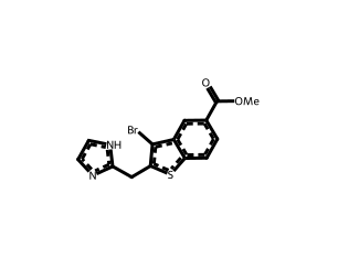 COC(=O)c1ccc2sc(Cc3ncc[nH]3)c(Br)c2c1